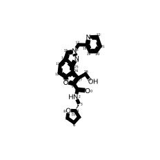 O=C(NC[C@@H]1CCCO1)c1oc2ccc3cn(Cc4ccccn4)nc3c2c1CO